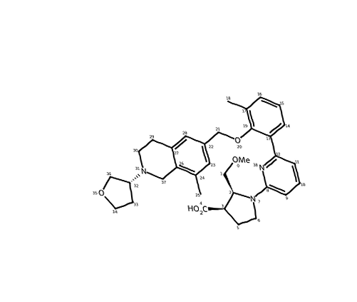 COC[C@@H]1[C@H](C(=O)O)CCN1c1cccc(-c2cccc(C)c2OCc2cc(C)c3c(c2)CCN([C@@H]2CCOC2)C3)n1